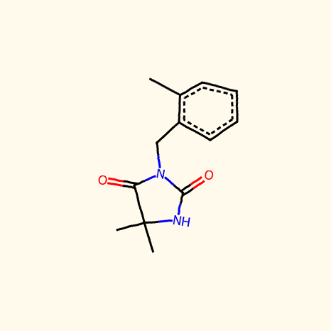 Cc1ccccc1CN1C(=O)NC(C)(C)C1=O